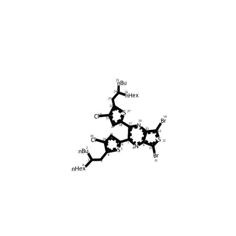 CCCCCCC(CCCC)Cc1sc(-c2nc3c(Br)sc(Br)c3nc2-c2cc(Cl)c(CC(CCCC)CCCCCC)s2)cc1Cl